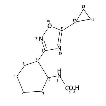 O=C(O)NC1CCCCC1c1noc(C2CC2)n1